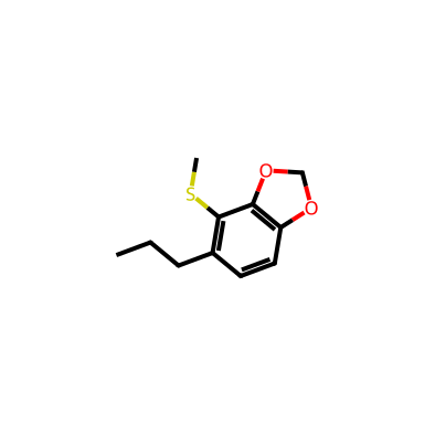 CCCc1ccc2c(c1SC)OCO2